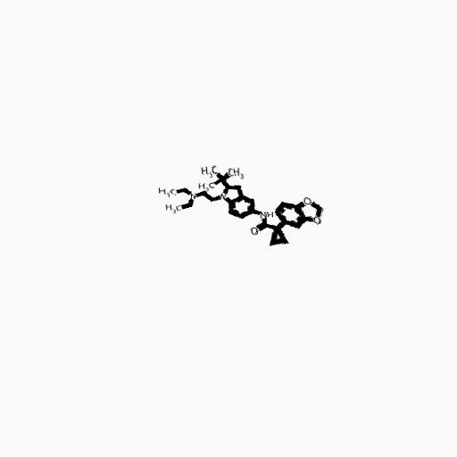 CCN(CC)CCN1c2ccc(NC(=O)C3(c4ccc5c(c4)OCO5)CC3)cc2CC1C(C)(C)C